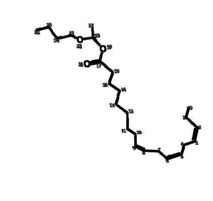 CC/C=C\C/C=C\C/C=C\CCCCCCCC(=O)OC(C)OCCCC